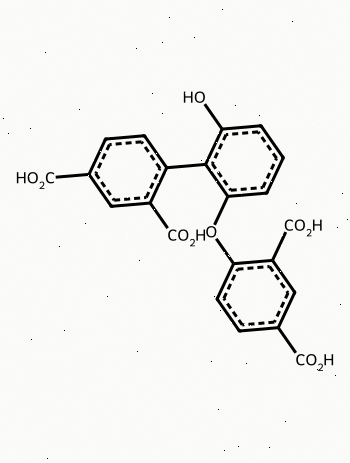 O=C(O)c1ccc(Oc2cccc(O)c2-c2ccc(C(=O)O)cc2C(=O)O)c(C(=O)O)c1